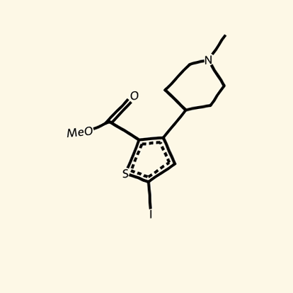 COC(=O)c1sc(I)cc1C1CCN(C)CC1